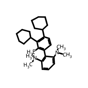 CN(C)c1cccc(N(C)C)c1-c1ccc(C2CCCCC2)c(C2CCCCC2)c1P